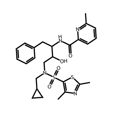 Cc1cccc(C(=O)NC(Cc2ccccc2)C(O)CN(CC2CC2)S(=O)(=O)c2sc(C)nc2C)n1